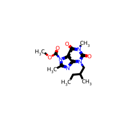 CCC(C)Cn1c(=O)n(C)c(=O)c2c1nc(C)n2C(=O)OC